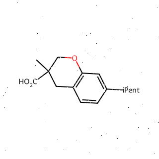 CCCC(C)c1ccc2c(c1)OCC(C)(C(=O)O)C2